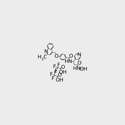 Cc1cc(COc2ccc(C(=O)NC(CC(=O)NO)c3ccncc3)cc2)c2ccccc2n1.O=C(O)C(F)(F)F.O=C(O)C(F)(F)F